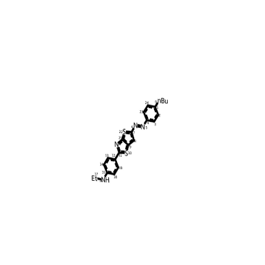 CCCCc1ccc(N=Nc2cc3sc(-c4ccc(NCC)cc4)nc3s2)cc1